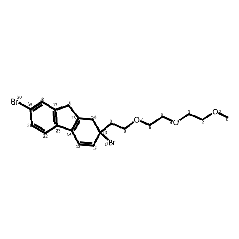 COCCOCCOCCC1(Br)C=CC2=C(Cc3cc(Br)ccc32)C1